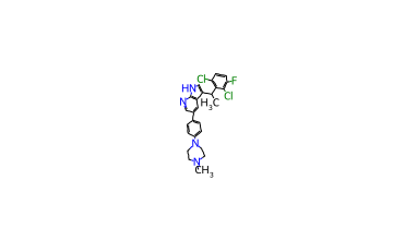 CC(c1c(Cl)ccc(F)c1Cl)c1c[nH]c2ncc(-c3ccc(N4CCN(C)CC4)cc3)cc12